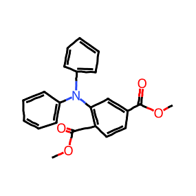 COC(=O)c1ccc(C(=O)OC)c(N(c2ccccc2)c2ccccc2)c1